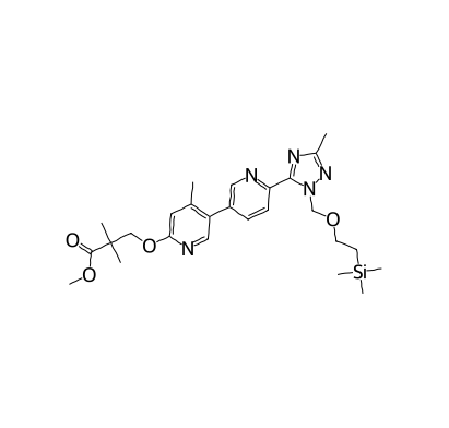 COC(=O)C(C)(C)COc1cc(C)c(-c2ccc(-c3nc(C)nn3COCC[Si](C)(C)C)nc2)cn1